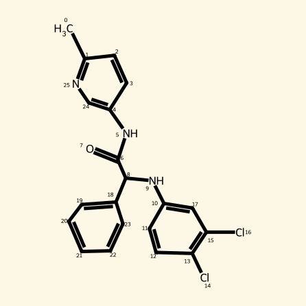 Cc1ccc(NC(=O)C(Nc2ccc(Cl)c(Cl)c2)c2ccccc2)cn1